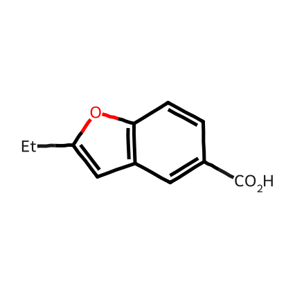 CCc1cc2cc(C(=O)O)ccc2o1